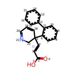 O=C(O)/C=C/C1(c2ccccc2-c2ccccc2)C=CC=NC1